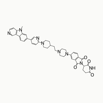 Cn1c2ccncc2c2ccc(-c3ccc(N4CCC(CCN5CCN(c6ccc7c(c6)C(=O)N(C6CCC(=O)NC6=O)C7=O)CC5)CC4)nc3)cc21